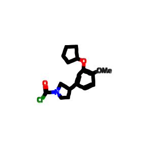 COc1ccc(C2CCN(C(=O)Cl)C2)cc1OC1CCCC1